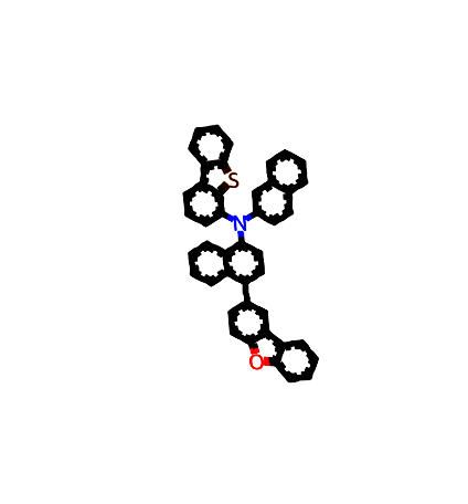 c1ccc2cc(N(c3ccc(-c4ccc5oc6ccccc6c5c4)c4ccccc34)c3cccc4c3sc3ccccc34)ccc2c1